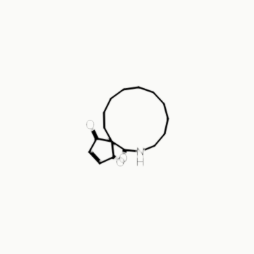 O=C1C=CC(=O)C12CCCCCCCCCCNC2=O